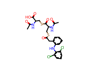 CC(=O)NC(CSC(=O)C(CSC(=O)Cc1ccccc1Nc1c(Cl)cccc1Cl)NC(C)=O)C(=O)O